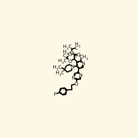 Cc1ncc(-c2cnc(OCCc3ccc(F)cc3)cn2)c(N2CCC(C)(C)CC2)c1C(OC(C)(C)C)C(=O)OC(C)C